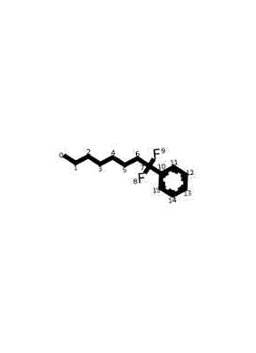 CCCCCCCC(F)(F)c1ccccc1